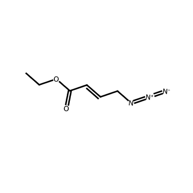 CCOC(=O)/C=C/CN=[N+]=[N-]